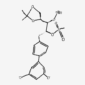 CCCCO[C@H]([C@@H]1COC(C)(C)O1)[C@@H](Cc1ccc(-c2cc(Cl)cc(Cl)c2)cc1)OS(C)(=O)=O